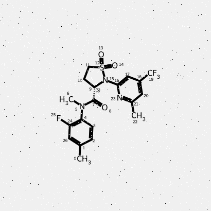 Cc1ccc(N(C)C(=O)[C@@H]2CCS(=O)(=O)N2c2cc(C(F)(F)F)cc(C)n2)c(F)c1